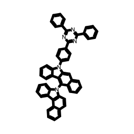 c1ccc(-c2nc(-c3ccccc3)nc(-c3ccc(-n4c5ccccc5c5c(-n6c7ccccc7c7c8ccccc8ccc76)c6ccccc6cc54)cc3)n2)cc1